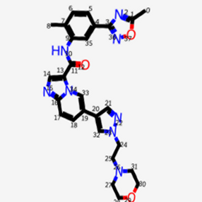 Cc1nc(-c2ccc(C)c(NC(=O)c3cnc4ccc(-c5cnn(CCN6CCOCC6)c5)cn34)c2)no1